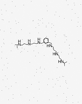 CC(C)NCCCNCCCNCc1cccc(CNCCCNCCCNC(C)C)c1